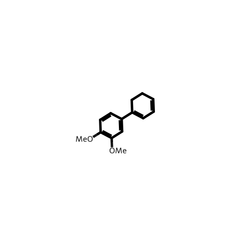 COc1ccc(C2=CC=CCC2)cc1OC